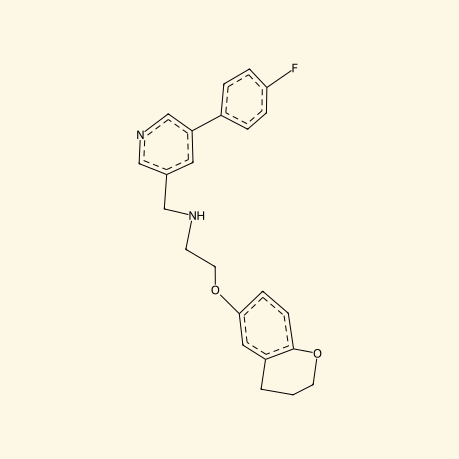 Fc1ccc(-c2cncc(CNCCOc3ccc4c(c3)CCCO4)c2)cc1